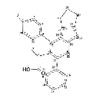 Cc1ccc(-c2c(C(C)C(=O)O)c(-c3ccccc3)nc3sc4c(c23)CCC4)cc1